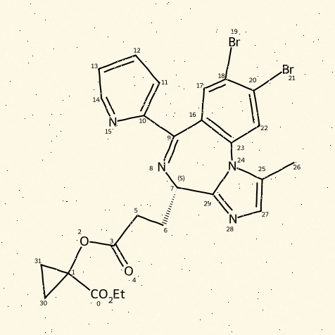 CCOC(=O)C1(OC(=O)CC[C@@H]2N=C(c3ccccn3)c3cc(Br)c(Br)cc3-n3c(C)cnc32)CC1